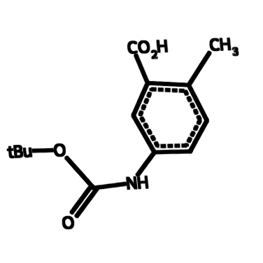 Cc1ccc(NC(=O)OC(C)(C)C)cc1C(=O)O